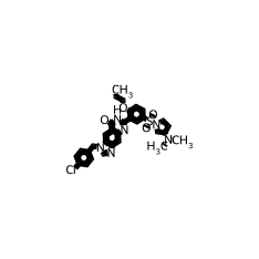 CCCOc1ccc(S(=O)(=O)N2CCC(N(C)C)C2)cc1-c1nc2cc3ncn(Cc4ccc(Cl)cc4)c3cc2c(=O)[nH]1